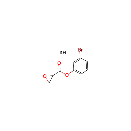 O=C(Oc1cccc(Br)c1)C1CO1.[KH]